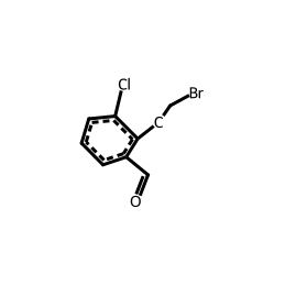 O=Cc1cccc(Cl)c1CCBr